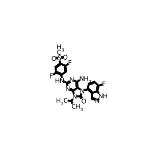 CC(C)n1c(=O)n(-c2ccc(F)c3[nH]ncc23)c2c(N)nc(Nc3cc(F)c(S(C)(=O)=O)cc3F)nc21